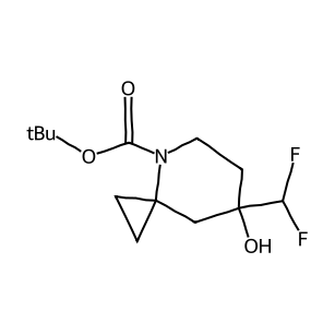 CC(C)(C)OC(=O)N1CCC(O)(C(F)F)CC12CC2